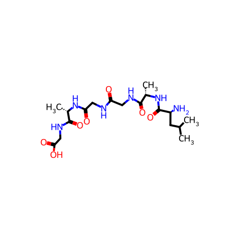 CC(C)C[C@H](N)C(=O)N[C@@H](C)C(=O)NCC(=O)NCC(=O)N[C@@H](C)C(=O)NCC(=O)O